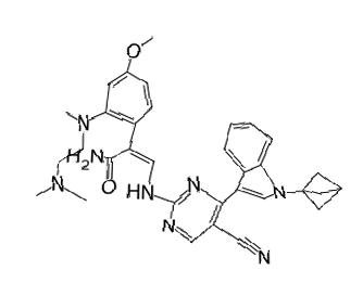 COc1ccc(C(=CNc2ncc(C#N)c(-c3cn(C45CC(C4)C5)c4ccccc34)n2)C(N)=O)c(N(C)CCN(C)C)c1